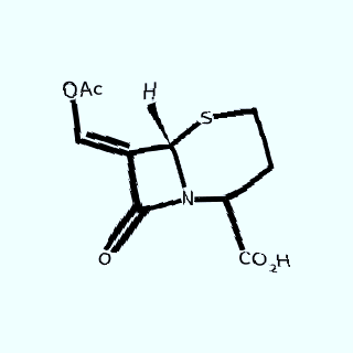 CC(=O)OC=C1C(=O)N2C(C(=O)O)CCS[C@@H]12